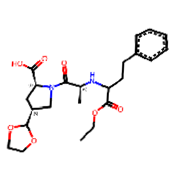 CCOC(=O)C(CCc1ccccc1)N[C@@H](C)C(=O)N1C[C@@H](C2OCCO2)C[C@H]1C(=O)O